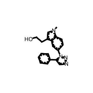 Cn1cc(CCO)c2cc(-n3nncc3-c3ccccc3)ccc21